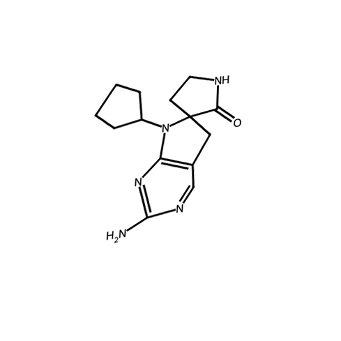 Nc1ncc2c(n1)N(C1CCCC1)C1(CCNC1=O)C2